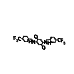 O=C1C=C(NCc2ccc(C(F)(F)F)cc2)C(=O)C=C1NCc1ccc(C(F)(F)F)cc1